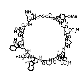 CCCC[C@H]1C(=O)N[C@@H](CCCN)C(=O)NCCSCC(=O)N[C@@H](Cc2ccc(OC)cc2)C(=O)N(C)CC(=O)N[C@@H](CC(=O)O)C(=O)N2CCCC2C(=O)N[C@@H](Cc2cnc[nH]2)C(=O)N[C@@H](CCC(=O)O)C(=O)N2CCCC2C(=O)N[C@@H](Cc2c[nH]c3ccccc23)C(=O)N[C@@H](CC(=O)O)C(=O)N[C@@H](Cc2c[nH]c3ccccc23)C(=O)N(C)CC(=O)N1C